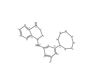 Cc1nc(NC2CCNc3ccccc32)cc(C2CCCCCCC2)n1